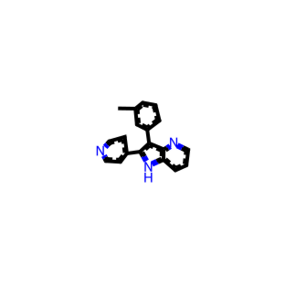 Cc1cccc(-c2c(-c3ccncc3)[nH]c3cccnc23)c1